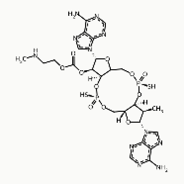 CNCCOC(=O)O[C@@H]1[C@@H]2O[P@](=O)(S)OC[C@H]3O[C@@H](n4cnc5c(N)ncnc54)[C@H](C)[C@@H]3O[P@](=O)(S)OCC2O[C@H]1n1cnc2c(N)ncnc21